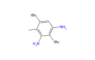 Cc1c(C(C)(C)C)cc(N)c(C(C)(C)C)c1N